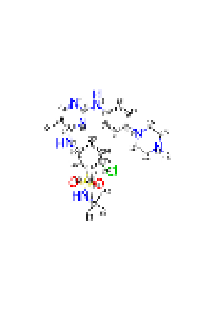 Cc1cnc(Nc2ccc(N3CCN(C)CC3)cc2)nc1Nc1ccc(Cl)c(S(=O)(=O)NC(C)(C)C)c1